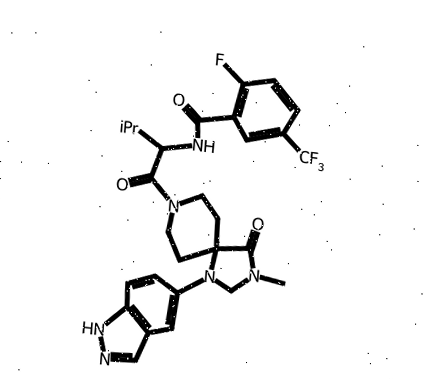 CC(C)C(NC(=O)c1cc(C(F)(F)F)ccc1F)C(=O)N1CCC2(CC1)C(=O)N(C)CN2c1ccc2[nH]ncc2c1